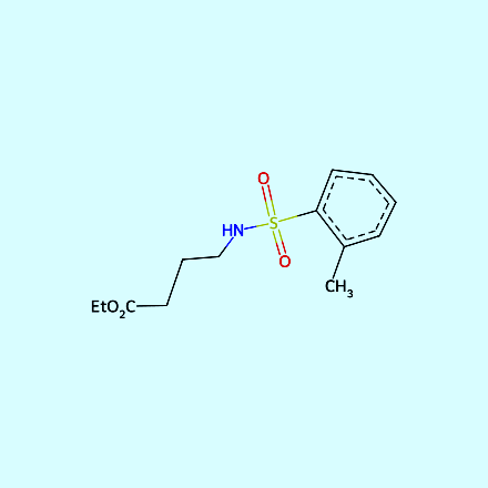 CCOC(=O)CCCNS(=O)(=O)c1ccccc1C